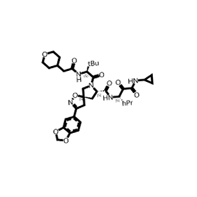 CCC[C@H](NC(=O)[C@@H]1C[C@]2(CC(c3ccc4c(c3)OCO4)=NO2)CN1C(=O)[C@@H](NC(=O)CC1CCOCC1)C(C)(C)C)C(=O)C(=O)NC1CC1